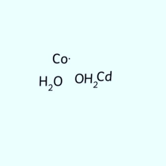 O.O.[Cd].[Co]